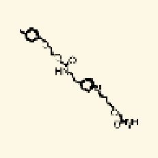 CNC(=O)COCCCCOc1ccc(CCNC(=O)COCCOCc2ccc(C)cc2)cc1